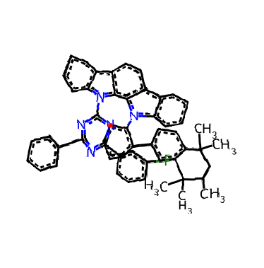 CC1CC(C)(C)c2ccc(-c3ccccc3-n3c4ccccc4c4ccc5c6ccccc6n(-c6nc(-c7ccccc7)nc(-c7cccc(F)c7)n6)c5c43)cc2C1(C)C